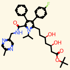 Cc1cnc(CNC(=O)c2c(-c3ccccc3)c(-c3ccc(F)cc3)c(CC[C@@H](O)C[C@@H](O)CC(=O)OC(C)(C)C)n2C(C)C)cn1